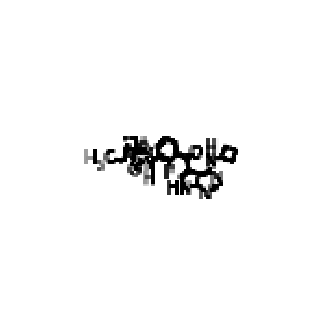 CCN(C)S(=O)(=O)Nc1cccc(C(=O)c2c[nH]c3ncnc(NC4CCC4)c23)c1F